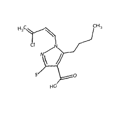 C=C(Cl)/C=C\n1nc(F)c(C(=O)O)c1CCCC